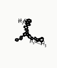 CC1(C)c2ccccc2-c2ccc(-c3ccc4cc5c6cc(-c7ccc(-c8ccccc8)cc7)cc7c8cc9ccc(-c%10ccc%11c(c%10)C(C)(C)c%10ccccc%10-%11)cc9cc8n(c5cc4c3)c67)cc21